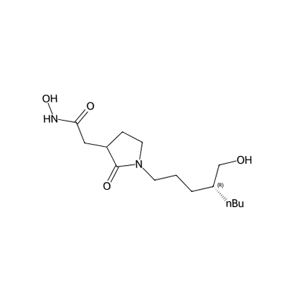 CCCC[C@@H](CO)CCCN1CCC(CC(=O)NO)C1=O